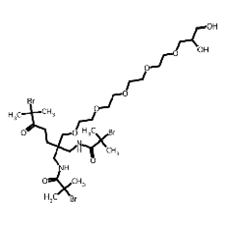 CC(C)(Br)C(=O)CCC(CNC(=O)C(C)(C)Br)(CNC(=O)C(C)(C)Br)COCCOCCOCCOCCOCC(O)CO